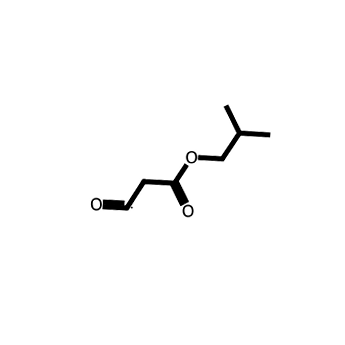 CC(C)COC(=O)C[C]=O